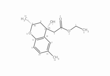 CCOC(=O)C[C@]1(O)C[C@@H](C)Oc2ccc(C)cc21